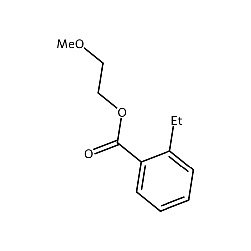 CCc1ccccc1C(=O)OCCOC